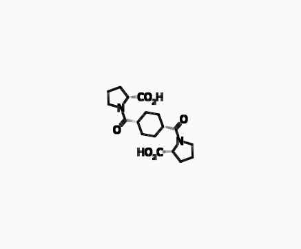 O=C(O)[C@H]1CCCN1C(=O)[C@H]1CC[C@@H](C(=O)N2CCC[C@@H]2C(=O)O)CC1